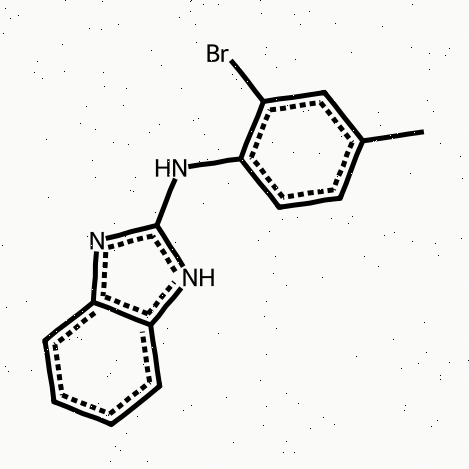 Cc1ccc(Nc2nc3ccccc3[nH]2)c(Br)c1